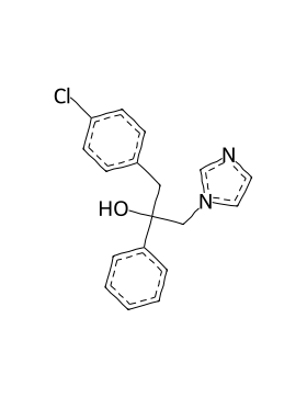 OC(Cc1ccc(Cl)cc1)(Cn1ccnc1)c1ccccc1